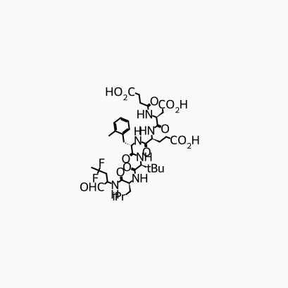 Cc1ccccc1C[C@H](NC(=O)[C@H](CCC(=O)O)NC(=O)[C@H](CC(=O)O)NC(=O)CCC(=O)O)C(=O)N[C@H](C(=O)N[C@@H](CC(C)C)C(=O)NC(C=O)CC(C)(F)F)C(C)(C)C